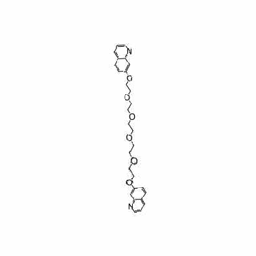 c1cnc2cc(OCCOCCOCCOCCOCCOc3ccc4cccnc4c3)ccc2c1